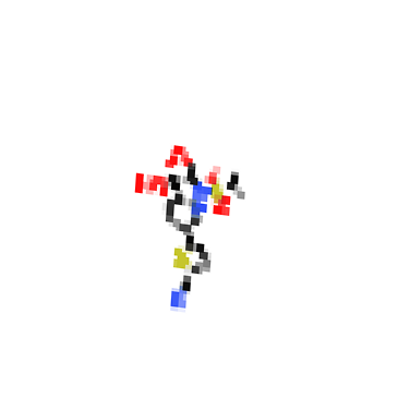 CC(C)S(=O)(=O)N[C@H]1COC[C@]1(O)c1ccc(-c2ccc(C#N)s2)cc1